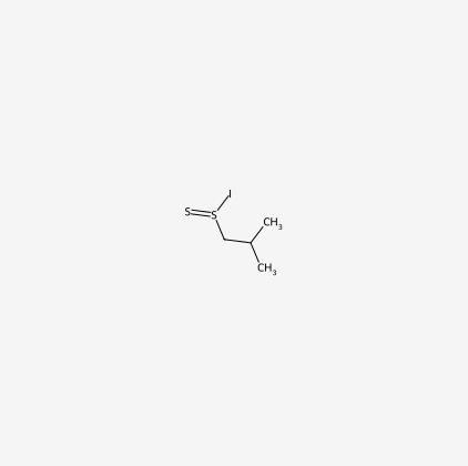 CC(C)CS(=S)I